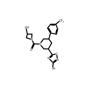 CC(C)c1noc(C2CC(c3ccc(C(F)(F)F)cc3)CN(C(=O)N3CC(O)C3)C2)n1